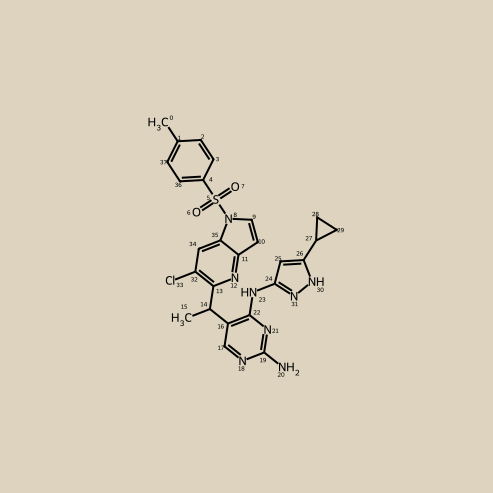 Cc1ccc(S(=O)(=O)n2ccc3nc(C(C)c4cnc(N)nc4Nc4cc(C5CC5)[nH]n4)c(Cl)cc32)cc1